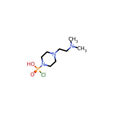 CN(C)CCN1CCN(P(=O)(O)Cl)CC1